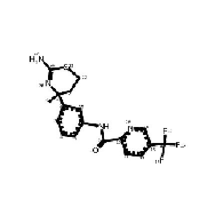 CC1(c2cccc(NC(=O)c3ccc(C(F)(F)F)cn3)c2)CCSC(N)=N1